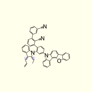 C=C/C=c1\c(=C/C)n(-c2cc(-n3c4ccccc4c4c5oc6ccccc6c5ccc43)ccc2-c2cccc(-c3cccc(C#N)c3)c2C#N)c2ccccc12